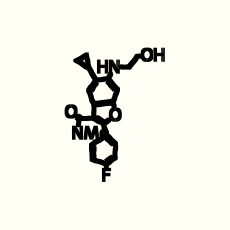 CNC(=O)c1c(-c2ccc(F)cc2)oc2cc(NCCO)c(C3CC3)cc12